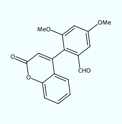 COc1cc(C=O)c(-c2cc(=O)oc3ccccc23)c(OC)c1